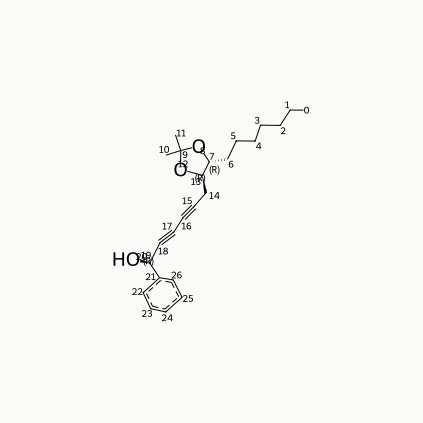 CCCCCCC[C@H]1OC(C)(C)O[C@@H]1CC#CC#C[C@H](O)c1ccccc1